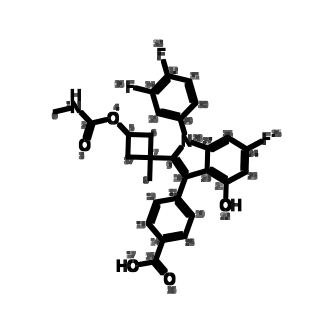 CNC(=O)OC1CC(C)(c2c(-c3ccc(C(=O)O)cc3)c3c(O)cc(F)cc3n2-c2ccc(F)c(F)c2)C1